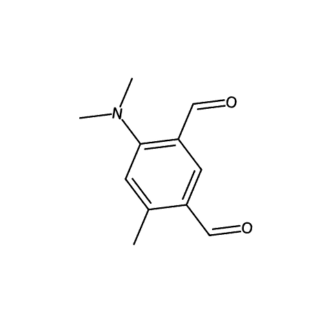 Cc1cc(N(C)C)c(C=O)cc1C=O